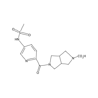 CS(=O)(=O)Nc1ccc(C(=O)N2CC3CN(C(=O)O)CC3C2)nc1